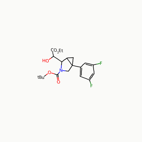 CCOC(=O)C(O)C1C2CC2(c2cc(F)cc(F)c2)CN1C(=O)OC(C)(C)C